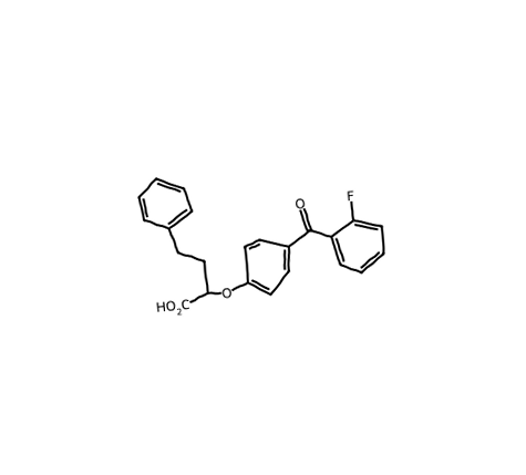 O=C(c1ccc(OC(CCc2ccccc2)C(=O)O)cc1)c1ccccc1F